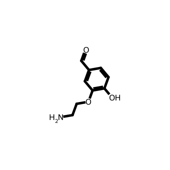 NCCOc1cc(C=O)ccc1O